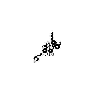 C=C(C)C1(c2c(O)cc(CCCCC)cc2OC(=O)N(c2cc(OC)c(Cl)cc2Cl)c2c(C#N)cnc3cc(OCCCN4CCN(C)CC4)c(OC)cc23)C=C(C)CCC1